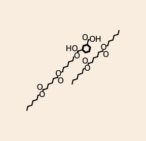 CCCCCCOC(=O)CCCCC(=O)OCCCCCC.CCCCCCOC(=O)CCCCC(=O)OCCCCCC.O=C(O)c1cccc(C(=O)O)c1